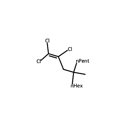 CCCCCCC(C)(CCCCC)CC(Cl)=C(Cl)Cl